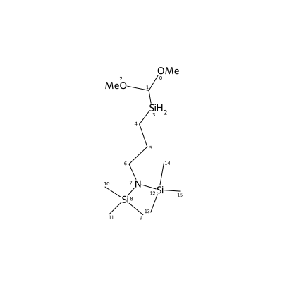 COC(OC)[SiH2]CCCN([Si](C)(C)C)[Si](C)(C)C